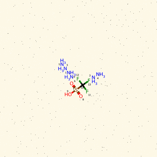 N.N.N.N.N.N.O=S(=O)(O)C(F)(F)F